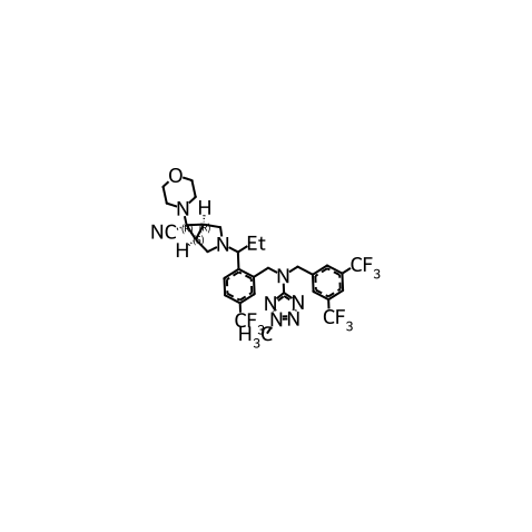 CCC(c1ccc(C(F)(F)F)cc1CN(Cc1cc(C(F)(F)F)cc(C(F)(F)F)c1)c1nnn(C)n1)N1C[C@@H]2[C@H](C1)[C@]2(C#N)N1CCOCC1